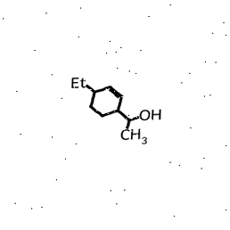 CCC1C=CC(C(C)O)CC1